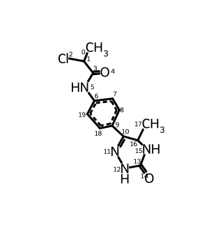 CC(Cl)C(=O)Nc1ccc(C2=NNC(=O)NC2C)cc1